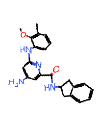 COc1c(C)cccc1Nc1cc(N)cc(C(=O)NC2Cc3ccccc3C2)n1